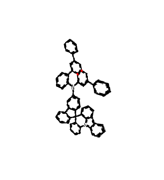 c1ccc(-c2cccc(-c3ccccc3N(c3cccc(-c4ccccc4)c3)c3ccc4c(c3)-c3ccccc3C43c4ccccc4-n4c5ccccc5c5cccc3c54)c2)cc1